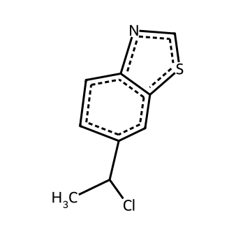 CC(Cl)c1ccc2ncsc2c1